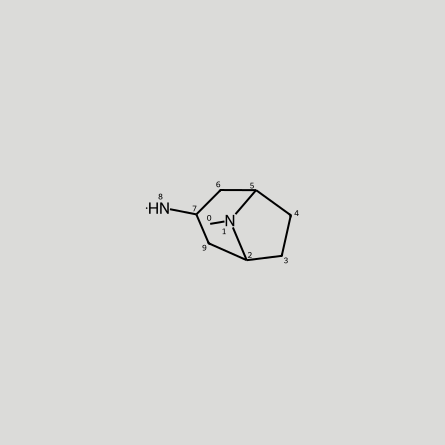 CN1C2CCC1CC([NH])C2